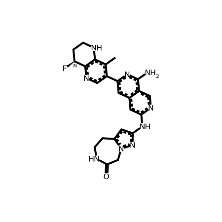 Cc1c(-c2cc3cc(Nc4cc5n(n4)CC(=O)NCC5)ncc3c(N)n2)cnc2c1NCC[C@@H]2F